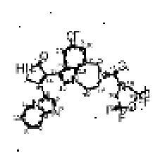 O=C1NCC(c2cnc3ccccn23)=C1c1cn2c3c(cc(C(F)(F)F)cc13)CN(C(=O)N1CC(F)(F)OC(F)(F)C1)CC2